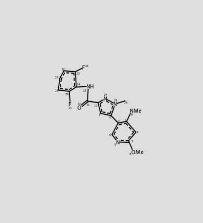 CNc1cc(OC)ncc1-c1cc(C(=O)Nc2c(F)cccc2F)nn1C